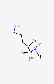 [2H]C(CCCN)[C@@]([2H])(C(=O)O)N([2H])[2H]